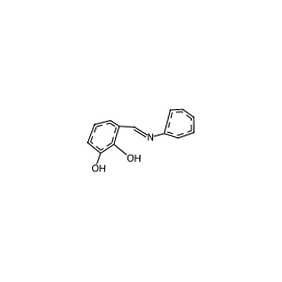 Oc1cccc(/C=N/c2ccccc2)c1O